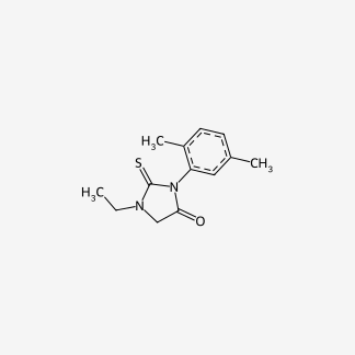 CCN1CC(=O)N(c2cc(C)ccc2C)C1=S